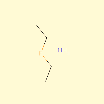 CC[P]CC.N